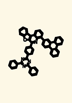 c1ccc(-c2nc(-c3ccccc3)nc(-c3ccc(-c4nc5c(-c6ccc7c8ccccc8c8ccccc8c7c6)cccc5c5c4oc4ccccc45)cc3)n2)cc1